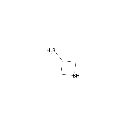 BC1CBC1